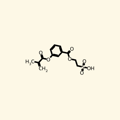 C=C(C)C(=O)Oc1cccc(C(=O)OCCS(=O)(=O)O)c1